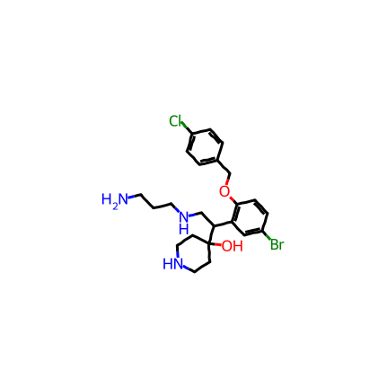 NCCCNCC(c1cc(Br)ccc1OCc1ccc(Cl)cc1)C1(O)CCNCC1